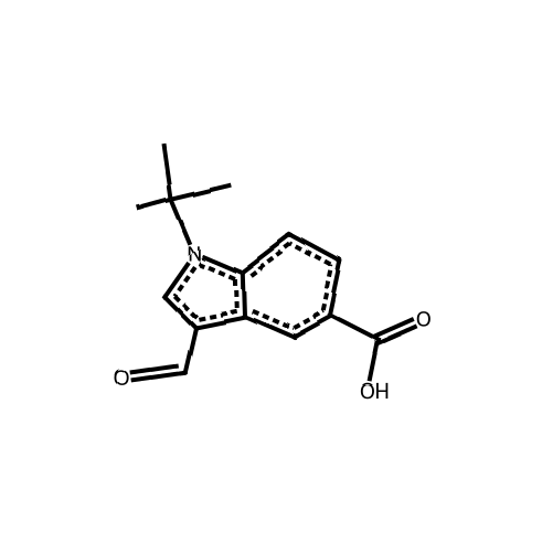 CC(C)(C)n1cc(C=O)c2cc(C(=O)O)ccc21